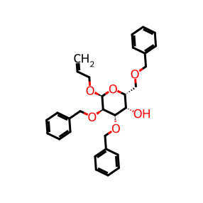 C=CCO[C@H]1O[C@H](COCc2ccccc2)[C@H](O)[C@H](OCc2ccccc2)[C@H]1OCc1ccccc1